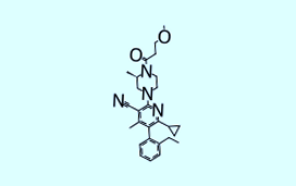 CCc1ccccc1-c1c(C2CC2)nc(N2CCN(C(=O)CCOC)[C@H](C)C2)c(C#N)c1C